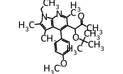 CCn1c(C)c(C)c2c(-c3ccc(OC)cc3)c(C(OC(C)(C)C)C(C)=O)c(C)nc21